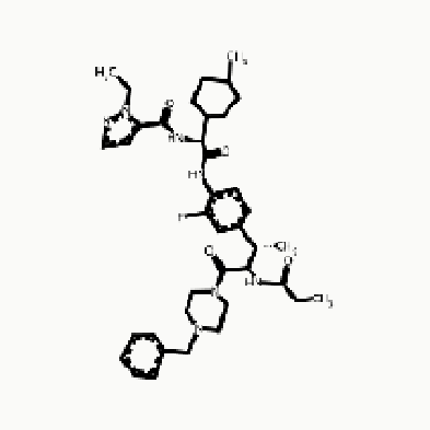 CCC(=O)N[C@@H](C(=O)N1CCN(Cc2ccccc2)CC1)[C@@H](C)c1ccc(NC(=O)[C@@H](NC(=O)c2ccnn2CC)C2CCC(C)CC2)c(F)c1